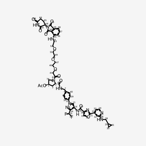 CC(=O)O[C@@H]1C[C@@H](C(=O)NCc2ccc(-n3cc(NC(=O)c4coc(-c5ccnc(NCC6CC6)c5)n4)c(C(F)F)n3)cc2)N(C(=O)COCCOCCOCCNc2cccc3c2C(=O)N(C2CCC(=O)NC2=O)C3=O)C1